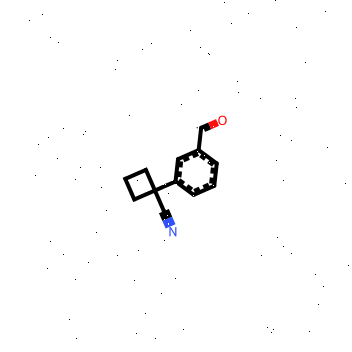 N#CC1(c2cccc([C]=O)c2)CCC1